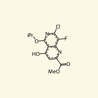 COC(=O)c1cc(O)c2c(OC(C)C)nc(Cl)c(F)c2n1